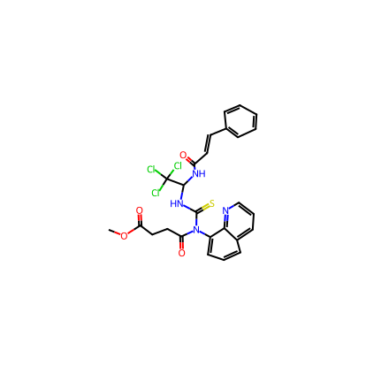 COC(=O)CCC(=O)N(C(=S)NC(NC(=O)/C=C/c1ccccc1)C(Cl)(Cl)Cl)c1cccc2cccnc12